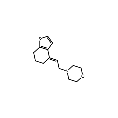 C(CN1CCOCC1)=C1CCCc2sccc21